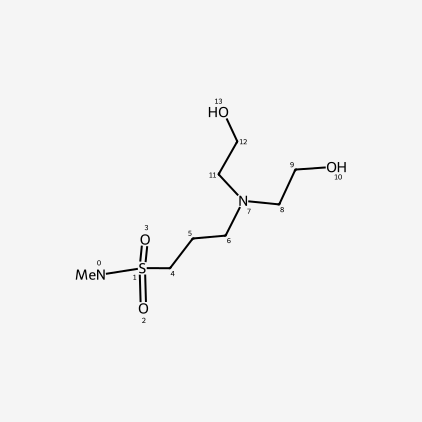 CNS(=O)(=O)CCCN(CCO)CCO